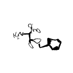 N[C](C(=O)OCc1ccccc1)[N+](=O)[O-]